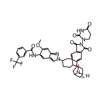 COc1cc2nn(C3CCC(CN4C5C[C@@H]4CN(c4ccc6c(c4)C(=O)N(N4CCC(=O)NC4=O)C6=O)C5)CC3)cc2cc1NC(=O)c1cccc(C(F)(F)F)c1